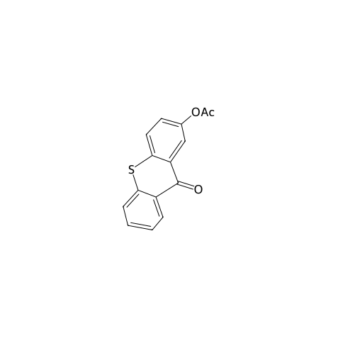 CC(=O)Oc1ccc2sc3ccccc3c(=O)c2c1